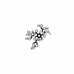 CC(C)C1OCC(C(=O)Nc2c(I)c(C(=O)N(C)CC(O)CO)c(I)c(C(=O)N(C)CC(O)CO)c2I)CO1